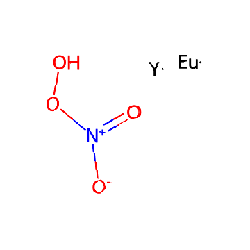 O=[N+]([O-])OO.[Eu].[Y]